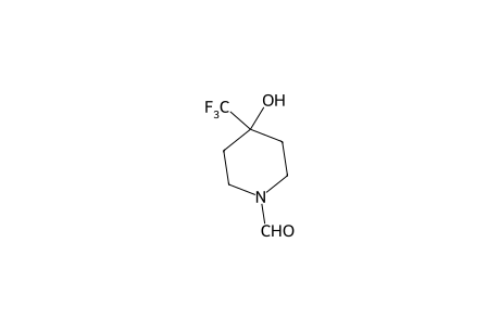 O=CN1CCC(O)(C(F)(F)F)CC1